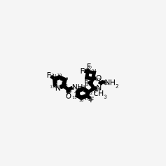 CC1(c2cc(NC(=O)c3ccc(F)cn3)ccc2F)N=C(N)OC2(CC(F)(F)C2)C1(F)F